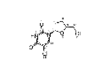 O=c1[nH]c(=O)n([C@H]2CC[C@@H]([CH]O)O2)cc1Cl